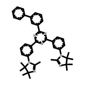 CC1=NC(C)(C)C(C)(C)N1c1cccc(-c2nc(-c3cccc(-c4ccccc4)c3)nc(-c3cccc(N4C(C)=NC(C)(C)C4(C)C)c3)n2)c1